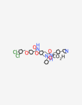 O=C(O)C(Cc1ccc(-c2ccncc2)cc1)NC(=O)[C@@H]1Cc2cc3c(cc2CN1C(=O)c1ccccc1)O[C@@H](c1ccc(OCc2ccc(Cl)c(Cl)c2)cc1)C(=O)N3